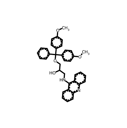 COc1ccc(C(OCC(O)CNc2c3ccccc3nc3ccccc23)(c2ccccc2)c2ccc(OC)cc2)cc1